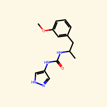 COc1cccc(CC(C)NC(=O)Nc2cn[nH]c2)c1